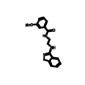 COc1cccc(C(=O)NCCNC2=NCc3ccccc32)c1